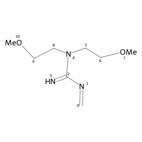 C=NC(=N)N(CCOC)CCOC